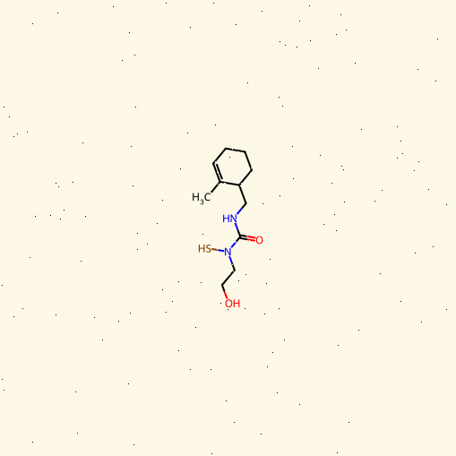 CC1=CCCCC1CNC(=O)N(S)CCO